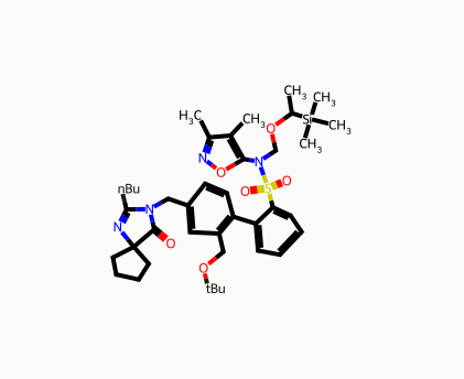 CCCCC1=NC2(CCCC2)C(=O)N1Cc1ccc(-c2ccccc2S(=O)(=O)N(COC(C)[Si](C)(C)C)c2onc(C)c2C)c(COC(C)(C)C)c1